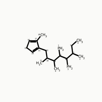 CCC(C)C(P)C(P)C(C)C(C)CC1=CCC=C1C